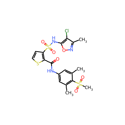 Cc1cc(NC(=O)c2sccc2S(=O)(=O)Nc2onc(C)c2Cl)cc(C)c1S(C)(=O)=O